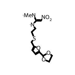 C[N]C(=C[N+](=O)[O-])[N]CCSCc1ccc(C2OCCO2)o1